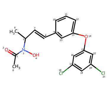 CC(=O)N(O)C(C)/C=C/c1cccc(Oc2cc(Cl)cc(Cl)c2)c1